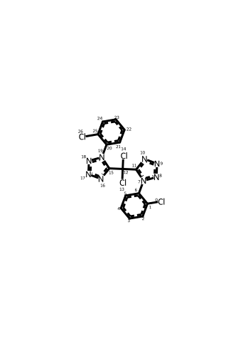 Clc1ccccc1-n1nnnc1C(Cl)(Cl)c1nnnn1-c1ccccc1Cl